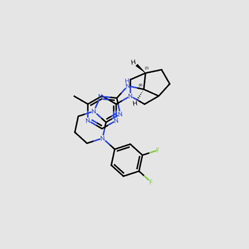 Cc1cc(N2CC3CC[C@@H](C2)[C@@H]3Nc2nc3n(n2)CCCN3c2ccc(F)c(F)c2)ncn1